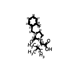 CC(C)(C)[C@@H](C(=O)O)N1CCN(Cc2ccccc2F)C1=O